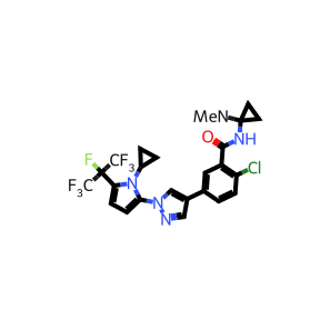 CNC1(NC(=O)c2cc(-c3cnn(-c4ccc(C(F)(C(F)(F)F)C(F)(F)F)n4C4CC4)c3)ccc2Cl)CC1